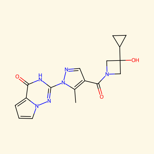 Cc1c(C(=O)N2CC(O)(C3CC3)C2)cnn1-c1nn2cccc2c(=O)[nH]1